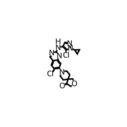 O=C1COCC12CCN(c1cc3nc(Nc4cnn(C5CC5)c4Cl)ncc3cc1Cl)CC2